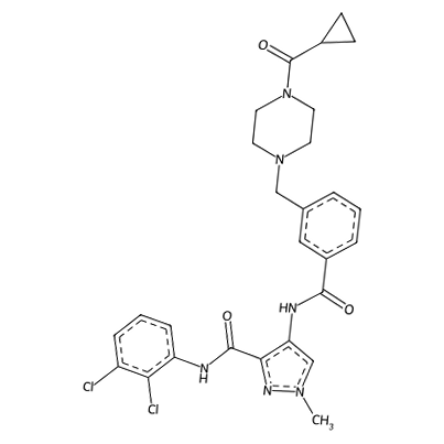 Cn1cc(NC(=O)c2cccc(CN3CCN(C(=O)C4CC4)CC3)c2)c(C(=O)Nc2cccc(Cl)c2Cl)n1